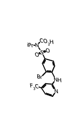 CC(C)N(C(=O)O)S(=O)(=O)c1ccc(Nc2cc(C(F)(F)F)ccn2)c(Br)c1